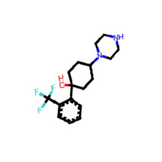 OC1(c2ccccc2C(F)(F)F)CCC(N2CCNCC2)CC1